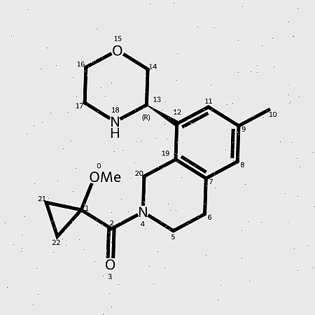 COC1(C(=O)N2CCc3cc(C)cc([C@@H]4COCCN4)c3C2)CC1